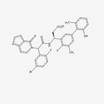 CCOC(=O)C[C@H](NC(=O)C(c1cc(Br)ccc1F)n1ccc2occc2c1=O)c1cc(-c2c(C)cccc2O)cc(C)c1F